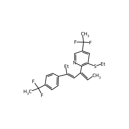 C/C=C(/C=C(\CC)c1ccc(C(C)(F)F)cc1)c1ncc(C(C)(F)F)cc1SCC